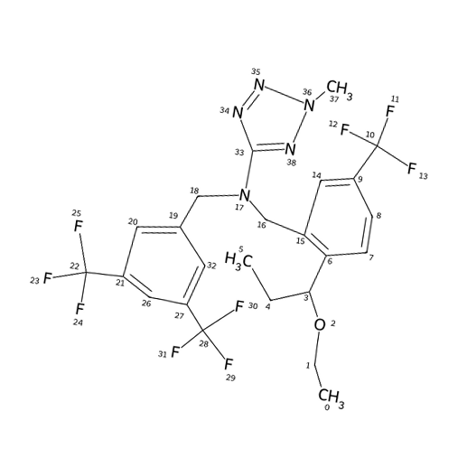 CCOC(CC)c1ccc(C(F)(F)F)cc1CN(Cc1cc(C(F)(F)F)cc(C(F)(F)F)c1)c1nnn(C)n1